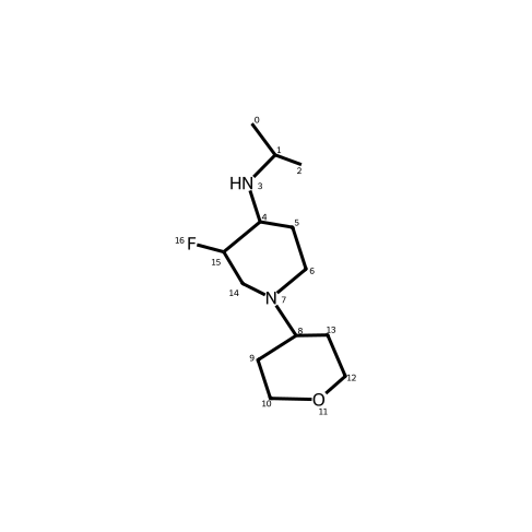 CC(C)NC1CCN(C2CCOCC2)CC1F